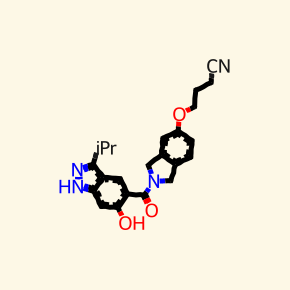 CC(C)c1n[nH]c2cc(O)c(C(=O)N3Cc4ccc(OCCCC#N)cc4C3)cc12